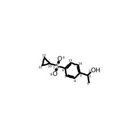 CC(O)c1ccc(S(=O)(=O)C2CC2)cc1